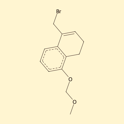 COCOc1cccc2c1CCC=C2CBr